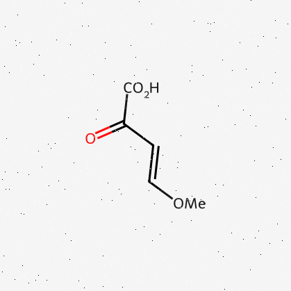 CO/C=C/C(=O)C(=O)O